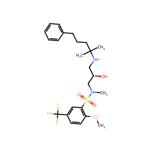 CBc1ccc(C(F)(F)F)cc1S(=O)(=O)N(C)C[C@H](O)CNC(C)(C)CCCc1ccccc1